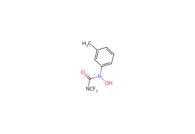 Cc1cccc(N(O)C(=O)NC(F)(F)F)c1